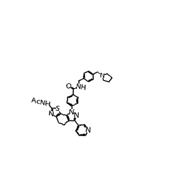 CC(=O)Nc1nc2c(s1)-c1c(c(-c3cccnc3)nn1-c1ccc(C(=O)NCc3ccc(CN4CCCC4)cc3)cc1)CC2